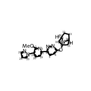 COc1nc(-c2ccc(OC3C[C@H]4CC[C@@H](C3)N4)nn2)ccc1-n1cccn1